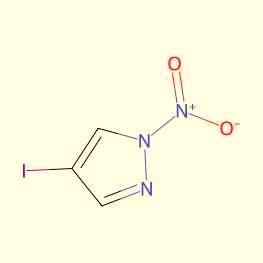 O=[N+]([O-])n1cc(I)cn1